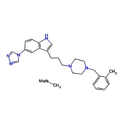 CNC.Cc1ccccc1CN1CCN(CCCc2c[nH]c3ccc(-n4cnnc4)cc23)CC1